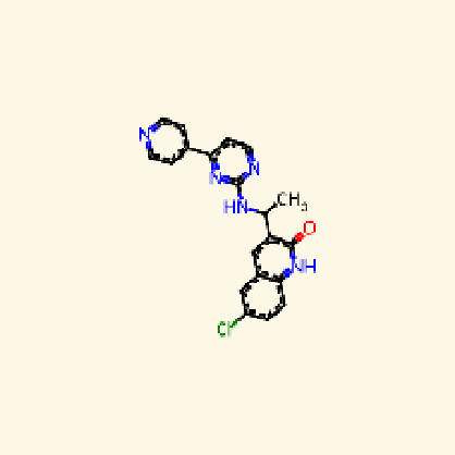 CC(Nc1nccc(-c2ccncc2)n1)c1cc2cc(Cl)ccc2[nH]c1=O